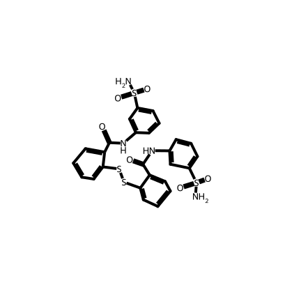 NS(=O)(=O)c1cccc(NC(=O)c2ccccc2SSc2ccccc2C(=O)Nc2cccc(S(N)(=O)=O)c2)c1